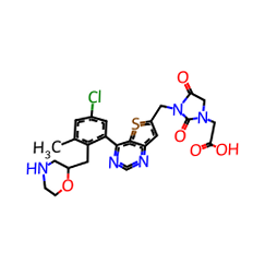 Cc1cc(Cl)cc(-c2ncnc3cc(CN4C(=O)CN(CC(=O)O)C4=O)sc23)c1CC1CNCCO1